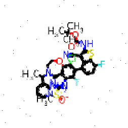 CC(c1cccnc1N)N1CCOc2c(Cl)c(-c3ccc(F)c4sc(NC(=O)OC(C)(C)C)c(C#N)c34)c(F)c3nc([S+](C)[O-])nc1c23